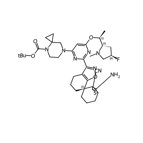 C[C@H](Oc1cc(N2CCN(C(=O)OC(C)(C)C)C3(CC3)C2)nc(-c2noc3c2CCC[C@@]32CCCc3sc(N)c(C#N)c32)n1)[C@@H]1C[C@@H](F)CN1C